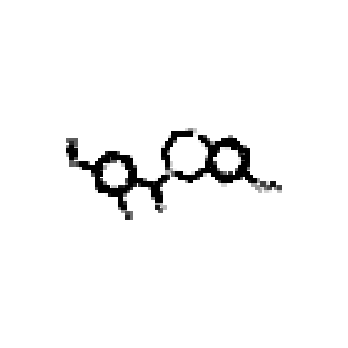 COc1ccc2c(c1)CN(C(=O)c1ccc(N=N)cc1O)CCS2